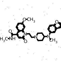 CNC(=O)c1cc(=O)n(CCN2CCC(N(C)c3ccc4occc4c3)CC2)c2cc(OC)ccc12